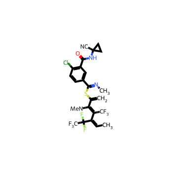 C=C(S/C(=N\C)c1ccc(Cl)c(C(=O)NC2(C#N)CC2)c1)/C(NC)=C(/C(=C\C)C(F)(F)C(F)(F)F)C(F)(F)F